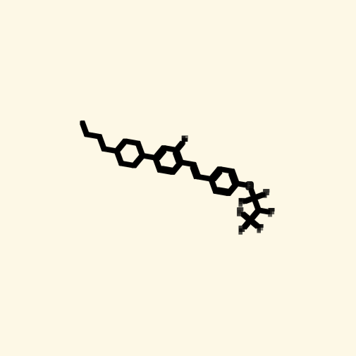 CCCCC1CCC(c2ccc(C=Cc3ccc(OC(F)(F)C(F)C(F)(F)F)cc3)c(F)c2)CC1